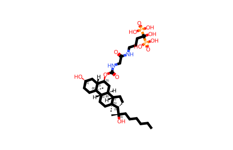 CCCCCC[C@](C)(O)[C@H]1CC[C@H]2[C@@H]3C[C@H](OC(=O)NCC(=O)NCCCC(O)(P(=O)(O)O)P(=O)(O)O)[C@H]4C[C@@H](O)CC[C@]4(C)[C@H]3CC[C@@]21C